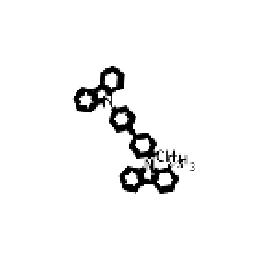 CC1CC=Cc2c1n(C1(C)C=CC(c3ccc(-n4c5c(c6ccccc64)CCC=C5)cc3)=CC1)c1ccccc21